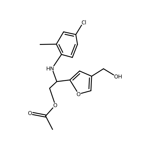 CC(=O)OCC(Nc1ccc(Cl)cc1C)c1cc(CO)co1